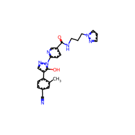 Cc1cc(C#N)ccc1-c1cnn(-c2ccc(C(=O)NCCCn3cccn3)cn2)c1O